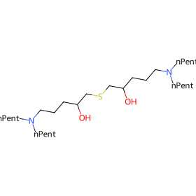 CCCCCN(CCCCC)CCCC(O)CSCC(O)CCCN(CCCCC)CCCCC